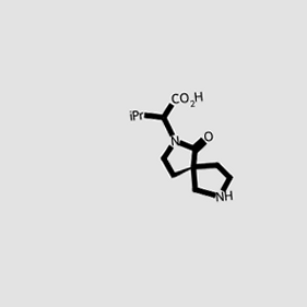 CC(C)C(C(=O)O)N1CC[C@]2(CCNC2)C1=O